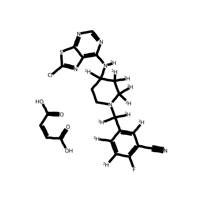 O=C(O)/C=C\C(=O)O.[2H]c1c([2H])c(C([2H])([2H])N2CCC([2H])(N([2H])c3ncnc4sc(Cl)nc34)C([2H])([2H])C2([2H])[2H])c([2H])c(C#N)c1F